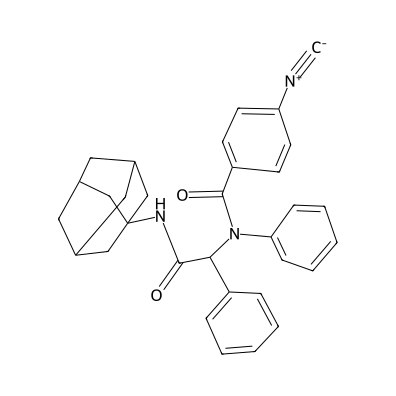 [C-]#[N+]c1ccc(C(=O)N(c2ccccc2)C(C(=O)NC23CC4CC(CC(C4)C2)C3)c2ccccc2)cc1